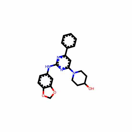 OC1CCN(c2cc(-c3ccccc3)nc(Nc3ccc4c(c3)OCO4)n2)CC1